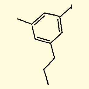 CCCc1cc(C)cc(I)c1